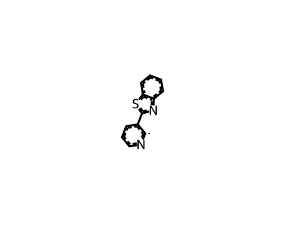 [c]1ncccc1-c1nc2ccccc2s1